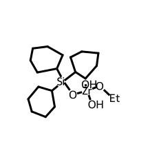 CC[O][Zr]([OH])([OH])[O][Si](C1CCCCC1)(C1CCCCC1)C1CCCCC1